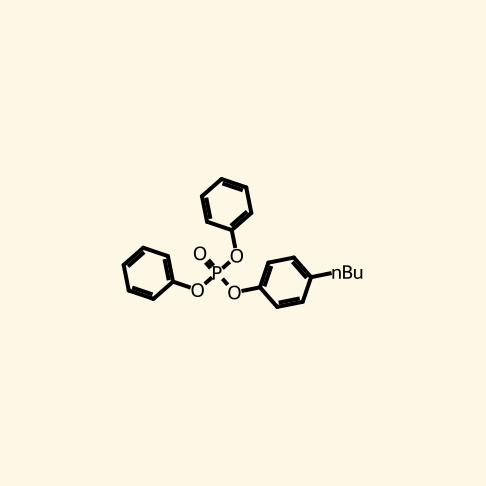 CCCCc1ccc(OP(=O)(Oc2ccccc2)Oc2ccccc2)cc1